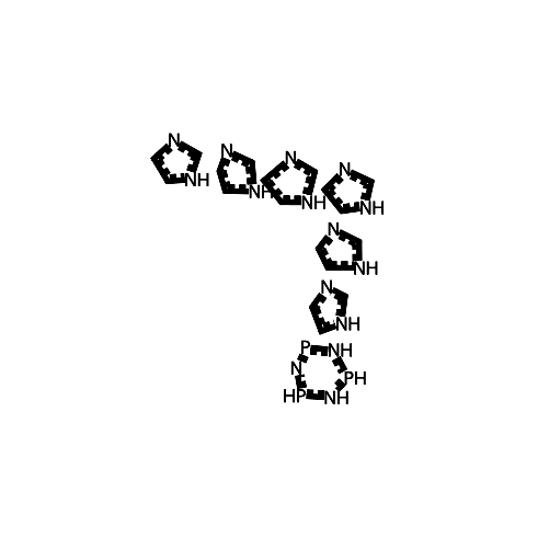 c1c[nH]cn1.c1c[nH]cn1.c1c[nH]cn1.c1c[nH]cn1.c1c[nH]cn1.c1c[nH]cn1.n1p[nH][pH][nH][pH]1